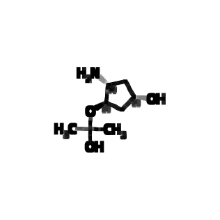 CC(C)(O)O[C@@H]1C[C@@H](O)C[C@H]1N